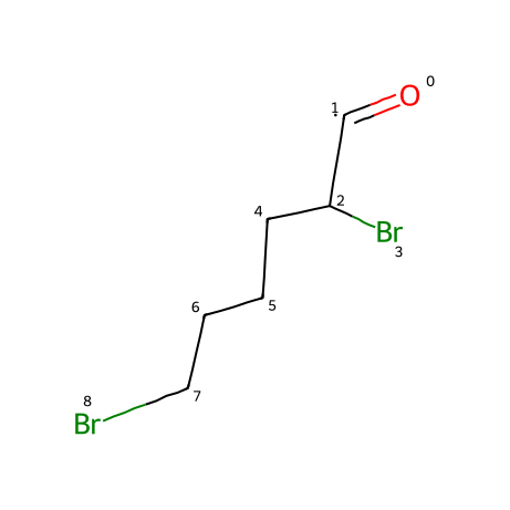 O=[C]C(Br)CCCCBr